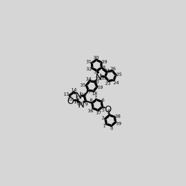 c1ccc(Oc2ccc(-c3nc4occn4c3-c3ccc(-n4c5ccccc5c5ccccc54)cc3)cc2)cc1